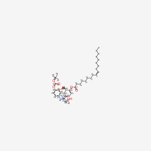 CCCCCCCC/C=C\CCCCCCCC(=O)OC1=CC[C@@]2(O)[C@H]3Cc4ccc(OC(=O)OC(C)(C)C)c5c4[C@@]2(CCN3C)[C@H]1O5